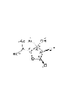 CC(=O)C(O)[C@H]1O[C@H](Cl)[C@H](Cl)[C@@]1(O)C(C)=O